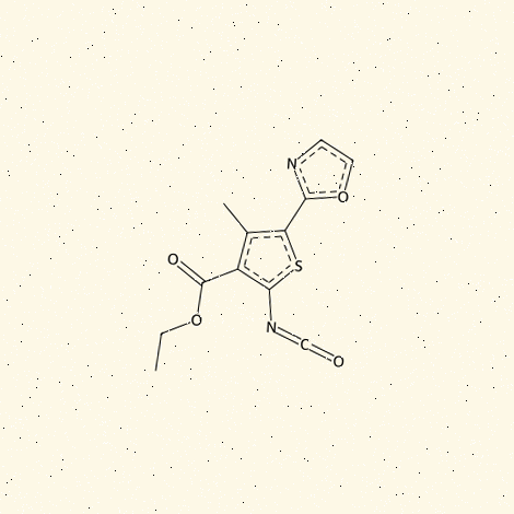 CCOC(=O)c1c(N=C=O)sc(-c2ncco2)c1C